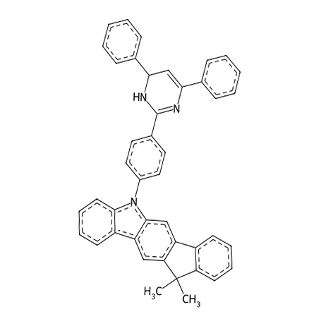 CC1(C)c2ccccc2-c2cc3c(cc21)c1ccccc1n3-c1ccc(C2=NC(c3ccccc3)=CC(c3ccccc3)N2)cc1